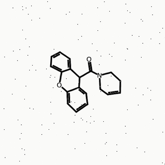 O=C(C1c2ccccc2Oc2ccccc21)N1CC=CCC1